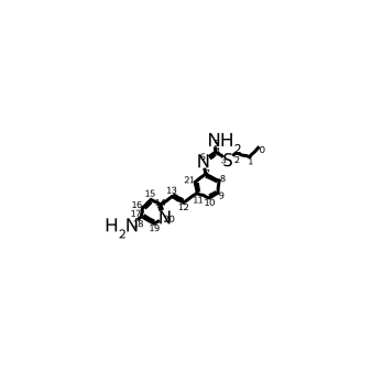 CCCS/C(N)=N\c1cccc(C=Cc2ccc(N)cn2)c1